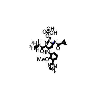 [2H]C([2H])([2H])NC(=O)c1nn(COP(=O)(O)O)/c(=N/C(=O)C2CC2)cc1Nc1cccc(-c2ncn(C)n2)c1OC